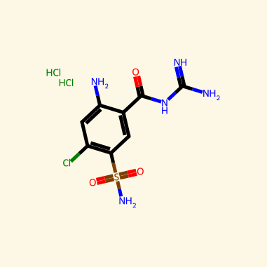 Cl.Cl.N=C(N)NC(=O)c1cc(S(N)(=O)=O)c(Cl)cc1N